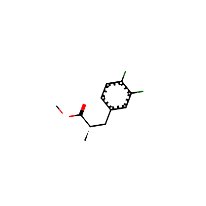 COC(=O)[C@H](C)Cc1ccc(Cl)c(Cl)c1